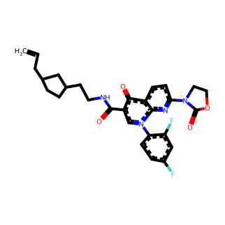 C=CCC1CCC(CCNC(=O)c2cn(-c3ccc(F)cc3F)c3nc(N4CCOC4=O)ccc3c2=O)C1